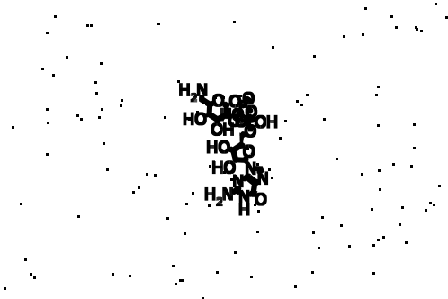 NCC1O[C@H](OP(=O)(O)OP(=O)(O)OC[C@H]2O[C@@H](n3cnc4c(=O)[nH]c(N)nc43)C(O)C2O)C(O)C(O)[C@@H]1O